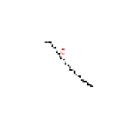 C=CC=CCCCCCCCCC(=O)CCCCC